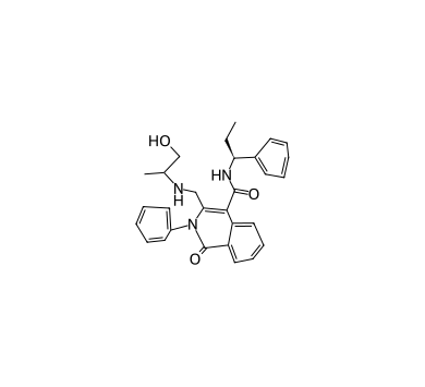 CC[C@H](NC(=O)c1c(CNC(C)CO)n(-c2ccccc2)c(=O)c2ccccc12)c1ccccc1